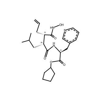 C=CC[C@H](C(=O)NO)[C@@H](CC(C)C)C(=O)N[C@@H](Cc1cccnc1)C(=O)OC1CCCC1